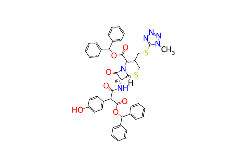 Cn1nnnc1SCC1=C(C(=O)OC(c2ccccc2)c2ccccc2)N2C(=O)[C@@H](NC(=O)C(C(=O)OC(c3ccccc3)c3ccccc3)c3ccc(O)cc3)[C@@H]2SC1